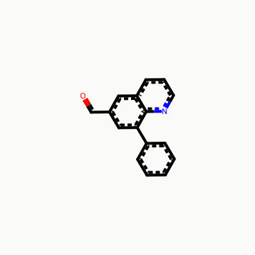 O=Cc1cc(-c2ccccc2)c2ncccc2c1